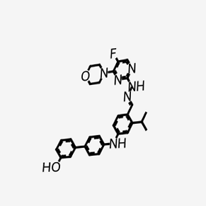 CC(C)c1cc(Nc2ccc(-c3cccc(O)c3)cc2)ccc1/C=N/Nc1ncc(F)c(N2CCOCC2)n1